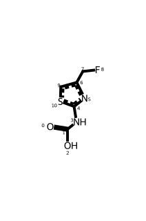 O=C(O)Nc1nc(CF)cs1